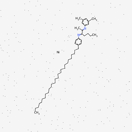 CCCCCCCCCCCCCCCCCCCCCCCCCCCc1ccc(/N=C(CCCC)/C(C)=N/c2cc(C)cc(C)c2)cc1.[Ni]